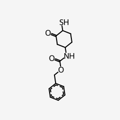 O=C(NC1CCC(S)C(=O)C1)OCc1ccccc1